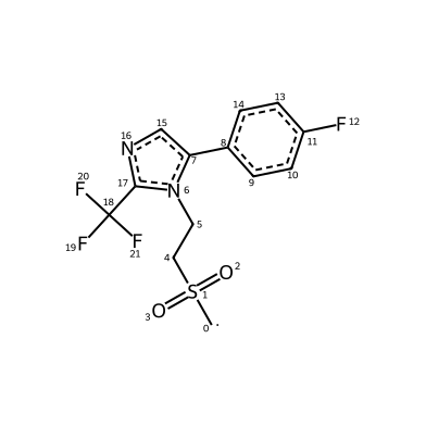 [CH2]S(=O)(=O)CCn1c(-c2ccc(F)cc2)cnc1C(F)(F)F